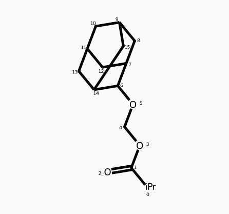 CC(C)C(=O)OCOC1C2CC3CC(C2)CC1C3